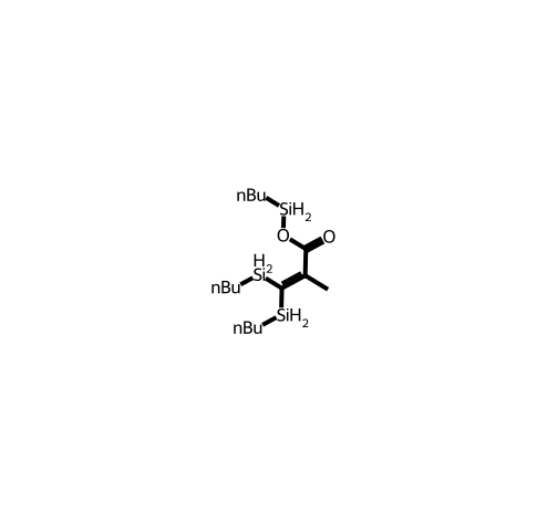 CCCC[SiH2]OC(=O)C(C)=C([SiH2]CCCC)[SiH2]CCCC